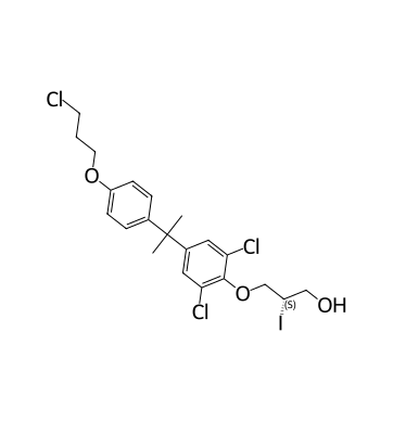 CC(C)(c1ccc(OCCCCl)cc1)c1cc(Cl)c(OC[C@@H](I)CO)c(Cl)c1